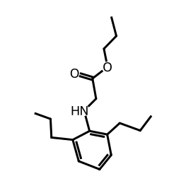 CCCOC(=O)CNc1c(CCC)cccc1CCC